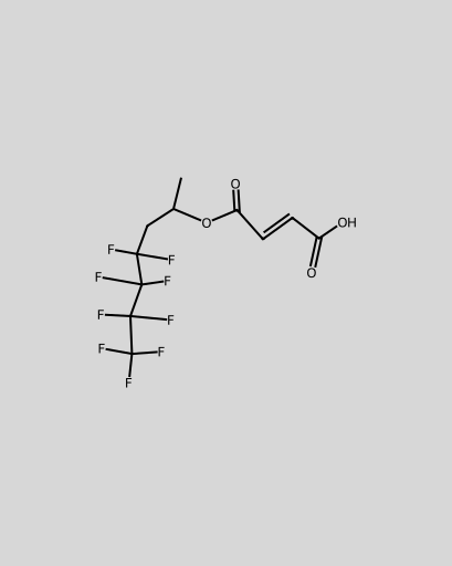 CC(CC(F)(F)C(F)(F)C(F)(F)C(F)(F)F)OC(=O)C=CC(=O)O